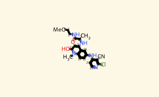 COCCNC(=O)[C@@H](C)NC1=CC(O)N(C)c2ccc(Nc3ccnc(Cl)c3C#N)cc21